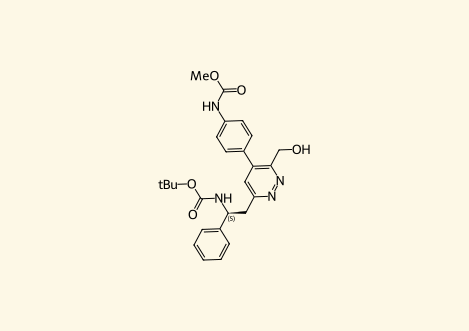 COC(=O)Nc1ccc(-c2cc(C[C@H](NC(=O)OC(C)(C)C)c3ccccc3)nnc2CO)cc1